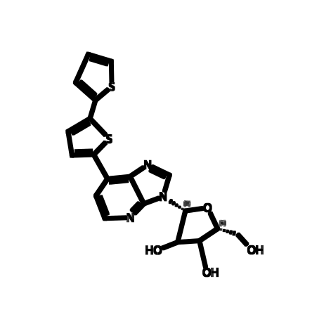 OC[C@H]1O[C@@H](n2cnc3c(-c4ccc(-c5cccs5)s4)ccnc32)C(O)C1O